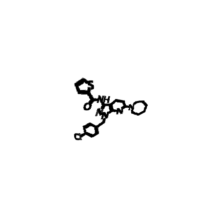 O=C(Nc1nn(Cc2ccc(Cl)cc2)c2nc(N3CCCCCC3)ccc12)c1cccs1